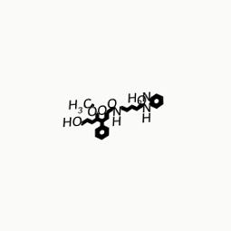 CCOC1OC(C(=O)NCCCCC(=O)Nc2ccccc2N)=CC(c2ccccc2)C1CCCO